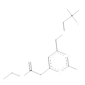 CCOC(=O)Cc1cc(COCC(F)(F)F)nc(Cl)n1